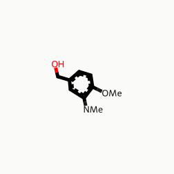 CNc1cc(CO)ccc1OC